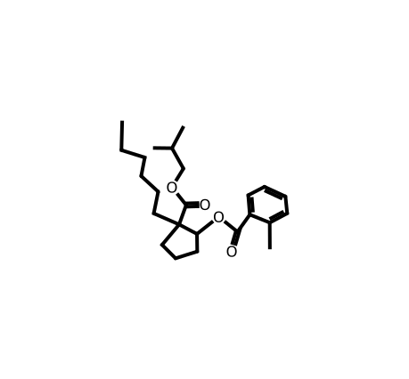 CCCCCCC1(C(=O)OCC(C)C)CCCC1OC(=O)c1ccccc1C